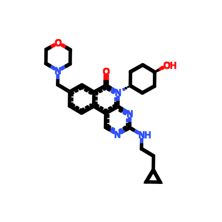 O=c1c2cc(CN3CCOCC3)ccc2c2cnc(NCCC3CC3)nc2n1[C@H]1CC[C@H](O)CC1